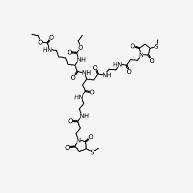 CCOC(=O)NCCCCC(NC(=O)OCC)C(=O)NC(CC(=O)NCCNC(=O)CCN1C(=O)CC(SC)C1=O)CC(=O)NCCNC(=O)CCN1C(=O)CC(SC)C1=O